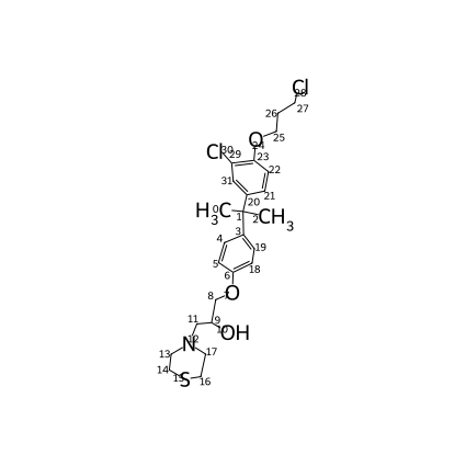 CC(C)(c1ccc(OCC(O)CN2CCSCC2)cc1)c1ccc(OCCCCl)c(Cl)c1